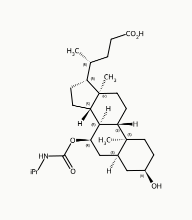 CC(C)NC(=O)O[C@@H]1C[C@@H]2C[C@H](O)CC[C@]2(C)[C@H]2CC[C@]3(C)[C@@H]([C@H](C)CCC(=O)O)CC[C@H]3[C@H]12